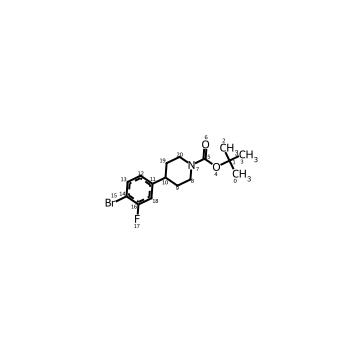 CC(C)(C)OC(=O)N1CCC(c2ccc(Br)c(F)c2)CC1